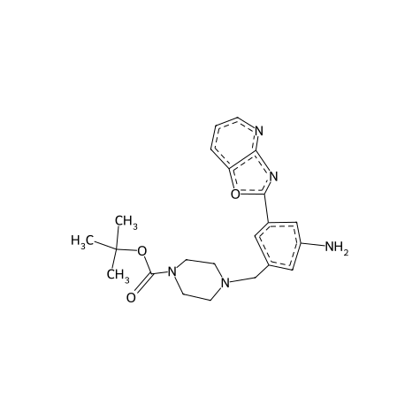 CC(C)(C)OC(=O)N1CCN(Cc2cc(N)cc(-c3nc4ncccc4o3)c2)CC1